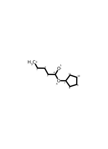 CCCCC([O])OC1CCCC1